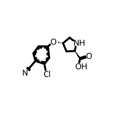 N#Cc1ccc(O[C@@H]2CN[C@@H](C(=O)O)C2)cc1Cl